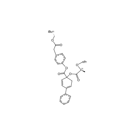 CCCO[C@@H](C)C(=O)OC1(C(=O)Oc2ccc(CC(=O)OC[C@@H](C)CC)cc2)C=CC(c2ccccc2)=CC1